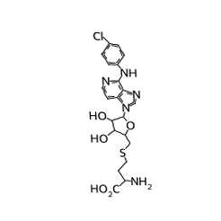 NC(CCSCC1OC(n2cnc3c(Nc4ccc(Cl)cc4)nccc32)C(O)C1O)C(=O)O